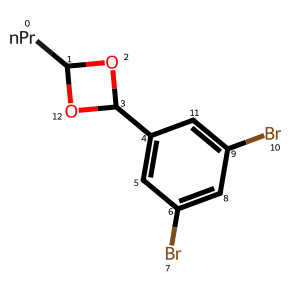 CCCC1OC(c2cc(Br)cc(Br)c2)O1